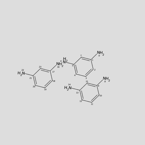 Nc1cccc(N)c1.Nc1cccc(N)c1.Nc1cccc(N)c1